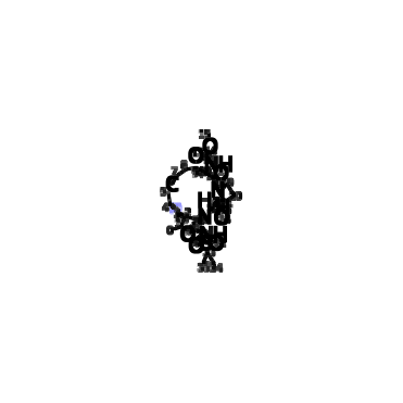 CC[C@H]1/C=C\CCCCC[C@H](NC(=O)OC)C(=O)N2CCC[C@H]2C(=O)NC1C(=O)NS(=O)(=O)C1CC1